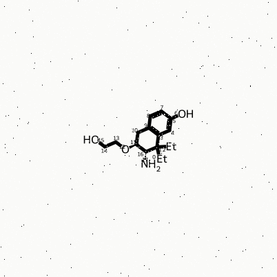 CCC1(CC)c2cc(O)ccc2C[C@H](OCCO)[C@H]1N